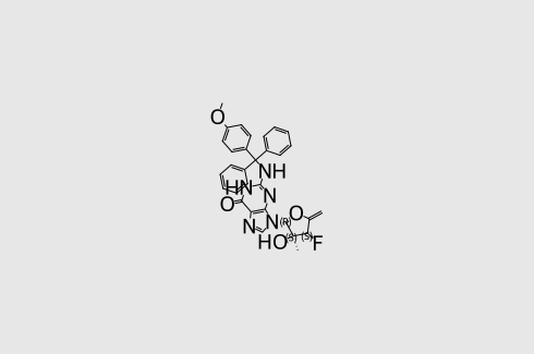 C=C1O[C@@H](n2cnc3c(=O)[nH]c(NC(c4ccccc4)(c4ccccc4)c4ccc(OC)cc4)nc32)[C@](C)(O)[C@@H]1F